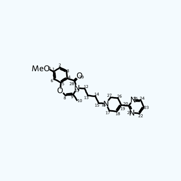 COc1ccc2c(c1)OC=C(C)N(CCCCN1CC=C(c3ncccn3)CC1)C2=O